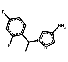 CC(c1ccc(F)cc1F)n1cc(N)cn1